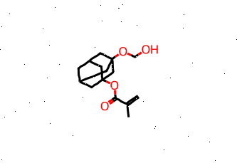 C=C(C)C(=O)OC12CC3CC(CC(OCO)(C3)C1)C2